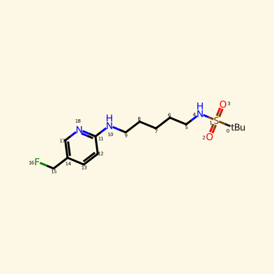 CC(C)(C)S(=O)(=O)NCCCCCNc1ccc(CF)cn1